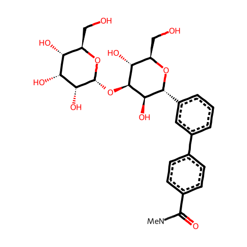 CNC(=O)c1ccc(-c2cccc([C@H]3O[C@H](CO)[C@@H](O)[C@H](O[C@H]4O[C@H](CO)[C@@H](O)[C@@H](O)[C@H]4O)[C@@H]3O)c2)cc1